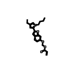 C=CC(=O)OCOc1ccc2cc(-c3cc(CC)cn3CCCC)oc2c1